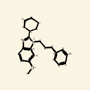 COc1ccc2nc(C3CCCCC3)n(CCCc3ccccc3)c2c1